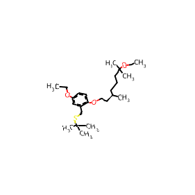 CCOc1ccc(OCCC(C)CCCC(C)(C)OCC)c(CSC(C)(C)C)c1